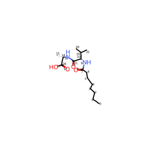 CCCCCCCC(=O)N[C@H](C(=O)N[C@@H](C)C(=O)O)C(C)C